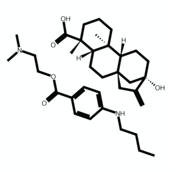 C=C1C[C@@]23CC[C@H]4[C@@](C)(CCC[C@@]4(C)C(=O)O)[C@@H]2CC[C@]1(O)C3.CCCCNc1ccc(C(=O)OCCN(C)C)cc1